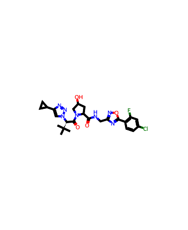 CC(C)(C)[C@@H](C(=O)N1CC(O)CC1C(=O)NCc1noc(-c2ccc(Cl)cc2F)n1)n1cc(C2CC2)nn1